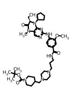 CC[C@@H]1C(=O)N(C)c2cnc(Nc3ccc(C(=O)NCCCN4CCN(CC5CCN(C(=O)OC(C)(C)C)CC5)CC4)cc3OC)nc2N1C1CCCC1